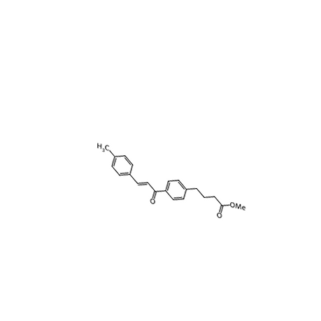 COC(=O)CCCc1ccc(C(=O)C=Cc2ccc(C)cc2)cc1